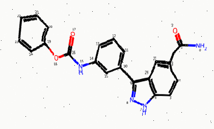 NC(=O)c1ccc2[nH]nc(-c3cccc(NC(=O)Oc4ccccc4)c3)c2c1